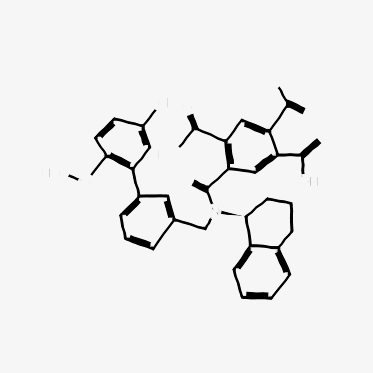 COc1ccc(Cl)cc1-c1cccc(CN(C(=O)c2cc(C(=O)O)c(C(=O)O)cc2C(=O)O)[C@H]2CCCc3ccccc32)c1